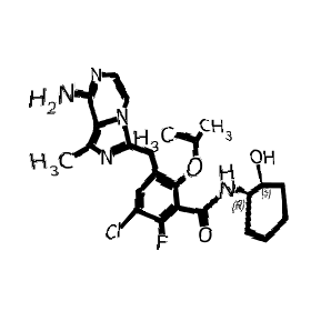 Cc1nc(Cc2cc(Cl)c(F)c(C(=O)N[C@@H]3CCCC[C@@H]3O)c2OC(C)C)n2ccnc(N)c12